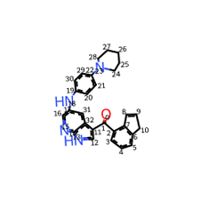 O=C(c1cccc2c1C=CC2)c1c[nH]c2ncc(Nc3ccc(N4CCCCC4)cc3)cc12